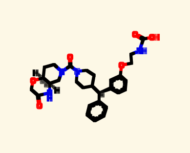 O=C(O)NCCOc1cccc([C@@H](c2ccccc2)C2CCN(C(=O)N3CC[C@@H]4OCC(=O)N[C@@H]4C3)CC2)c1